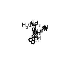 CCc1cccc2cccc(N3CCc4c(nc(OCC5(CN(C)C)CC5)nc4NC4CC(n5ccnn5)C4)C3)c12